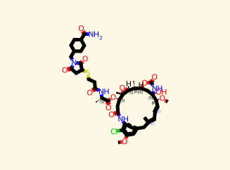 COc1cc2cc(c1Cl)NC(=O)C[C@H](OC(=O)[C@H](C)NC(=O)CCSC1CC(=O)N(CC3CCC(C(N)=O)CC3)C1=O)[C@]1(C)O[C@H]1[C@H](C)[C@@H]1C[C@@](O)(NC(=O)O1)[C@H](OC)/C=C/C=C(\C)C2